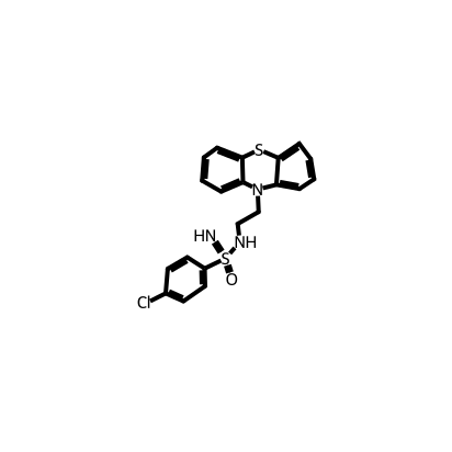 N=S(=O)(NCCN1c2ccccc2Sc2ccccc21)c1ccc(Cl)cc1